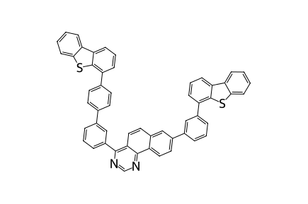 c1cc(-c2ccc(-c3cccc4c3sc3ccccc34)cc2)cc(-c2ncnc3c2ccc2cc(-c4cccc(-c5cccc6c5sc5ccccc56)c4)ccc23)c1